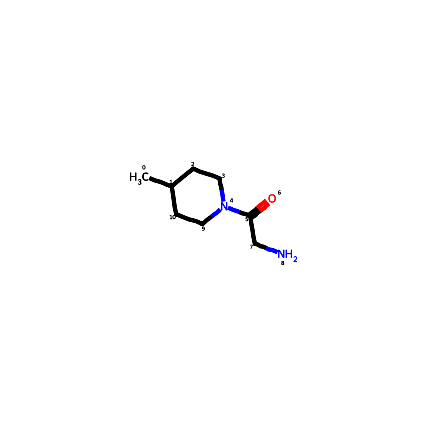 CC1CCN(C(=O)CN)CC1